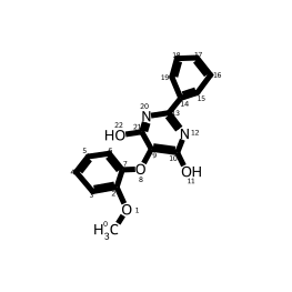 COc1ccccc1Oc1c(O)nc(-c2ccccc2)nc1O